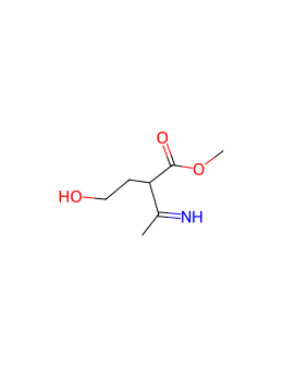 COC(=O)C(CCO)C(C)=N